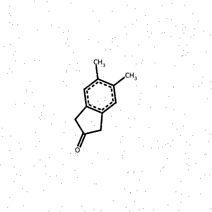 Cc1cc2c(cc1C)CC(=O)C2